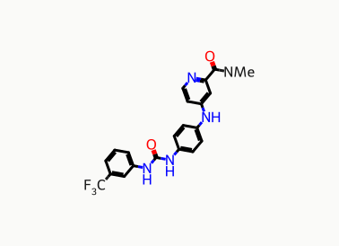 CNC(=O)c1cc(Nc2ccc(NC(=O)Nc3cccc(C(F)(F)F)c3)cc2)ccn1